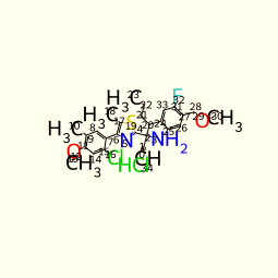 C#CC(N)(c1nc(-c2cc(C)c(OC)cc2Cl)c(C)s1)[C@@H](CCC)c1ccc(COC)c(F)c1.Cl